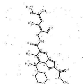 CN/C(C)=C\C(C)=C(/C=O)CNC(=O)c1cc2cc(C(=O)OC)cn2c(C(C)N2CCOCC2)c1C